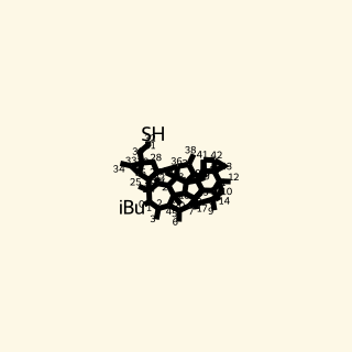 CCC(C)C1C(C)C2C(C)C3C(C)CC4(C)C(C)C35C(C)C3C2(C)C2C(C)C1(C)C1C(CC6(CCS)C(C)C16)C1C(C)C6C7C8C9CC94C8C75C63C12C